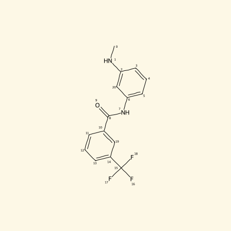 CNc1cccc(NC(=O)c2cccc(C(F)(F)F)c2)c1